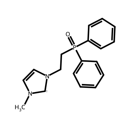 CN1[C]N(CCP(=O)(c2ccccc2)c2ccccc2)C=C1